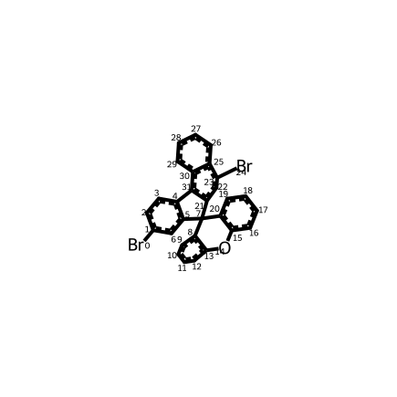 Brc1ccc2c(c1)C1(c3ccccc3Oc3ccccc31)c1cc(Br)c3ccccc3c1-2